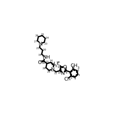 Cc1cccc(Cl)c1-c1nc(CN2CCC(C(=O)NCCCN3CCCCC3)CC2)c(C)o1